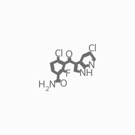 NC(=O)c1ccc(Cl)c(C(=O)c2c[nH]c3ncc(Cl)cc23)c1F